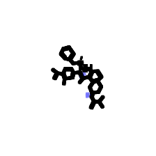 C=C(C)c1ccc(/C(N[C@@H](C)Cc2ccccc2)=C(\C)c2c(C)ccc3c2C/C(=C/C(=C)C(C)C)CC3)cc1C